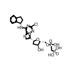 O=P(O)(O)CP(=O)(O)OC[C@H]1O[C@@H](c2cnc3c(N[C@H]4CCc5ccccc54)nc(Cl)nn23)C[C@@H]1O